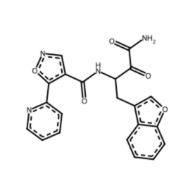 NC(=O)C(=O)C(Cc1coc2ccccc12)NC(=O)c1cnoc1-c1ccccn1